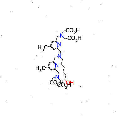 Cc1cc(CN(CC(=O)O)CC(=O)O)nc(CN(CCCCCCO)Cc2cc(C)cc(CN(CC(=O)O)CC(=O)O)n2)c1